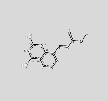 COC(=O)C=Cc1cccc2c(O)nc(O)nc12